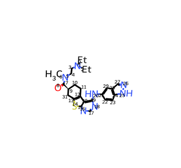 CCN(CC)CCN(C)C(=O)[C@H]1CCc2c(sc3ncnc(Nc4ccc5[nH]ncc5c4)c23)C1